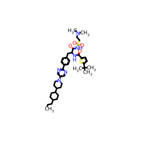 CCCC1CCC(C2CCN(c3cnc(-c4ccc(CC(NC(=O)c5ccc(C(C)(C)C)s5)C(=O)NS(=O)(=O)CCN(C)C)cc4)nc3)CC2)CC1